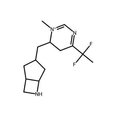 C[N+]1=CN=C(C(C)(F)F)CC1CC1CC2CNC2C1